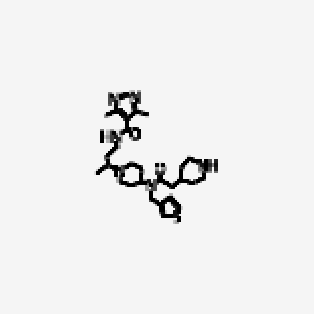 Cc1ncnc(C)c1C(=O)NCCC(C)N1CCC(N(Cc2ccsc2)C(=O)CC2CCNCC2)CC1